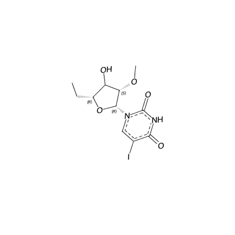 CC[C@H]1O[C@@H](n2cc(I)c(=O)[nH]c2=O)[C@@H](OC)C1O